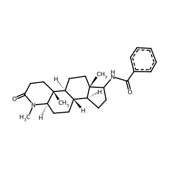 CN1C(=O)CC[C@]2(C)[C@H]3CC[C@]4(C)C(NC(=O)c5ccccc5)CC[C@H]4[C@@H]3CC[C@@H]12